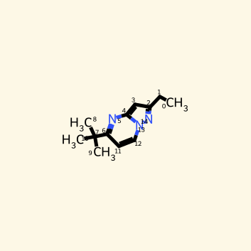 CCc1cc2nc(C(C)(C)C)ccn2n1